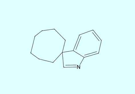 C1=Nc2ccccc2C12CCCCCCC2